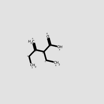 C=C(CC)C(CC)C(=O)O